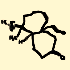 CC1(C)CCC[C@]2(C=O)CC(=O)CC[C@@H]12